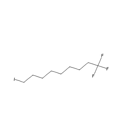 FC(F)(F)CCCCCCCCI